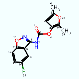 Cc1cc(OC(=O)Nc2noc3ccc(F)cc23)c(C)o1